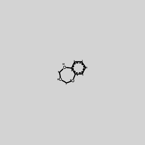 c1ccc2c(c1)OCOCO2